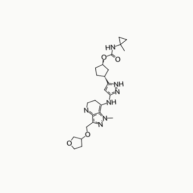 Cn1nc(COC2CCOC2)c2c1=C(Nc1cc([C@H]3CC[C@@H](OC(=O)NC4(C)CC4)C3)[nH]n1)CCN=2